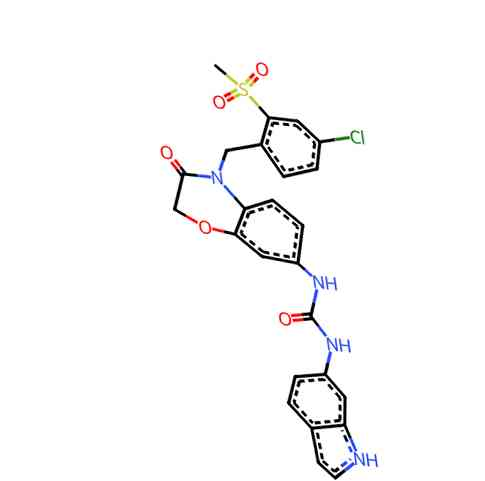 CS(=O)(=O)c1cc(Cl)ccc1CN1C(=O)COc2cc(NC(=O)Nc3ccc4cc[nH]c4c3)ccc21